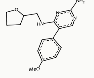 COc1ccc(-c2cnc(N)nc2NCC2CCCO2)cc1